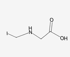 O=C(O)CNCI